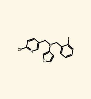 Fc1ccccc1CN(Cc1ccc(Cl)nc1)c1ccoc1